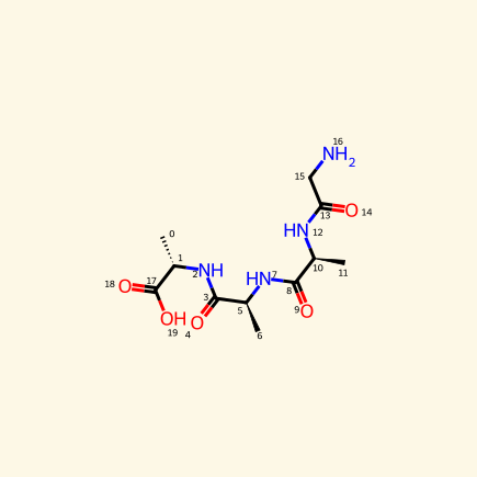 C[C@H](NC(=O)[C@H](C)NC(=O)[C@H](C)NC(=O)CN)C(=O)O